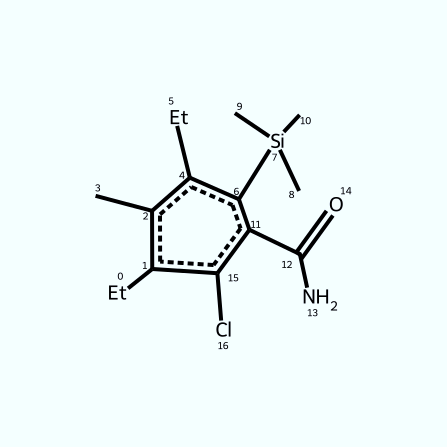 CCc1c(C)c(CC)c([Si](C)(C)C)c(C(N)=O)c1Cl